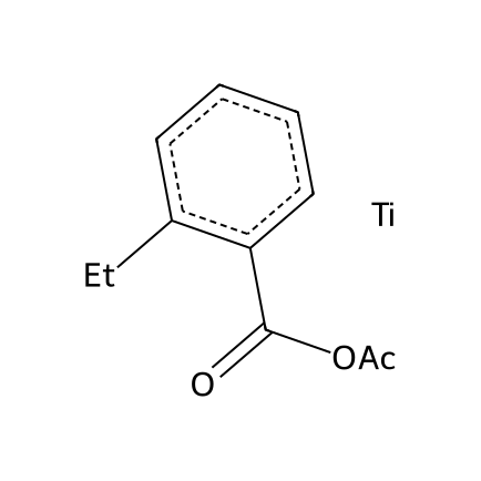 CCc1ccccc1C(=O)OC(C)=O.[Ti]